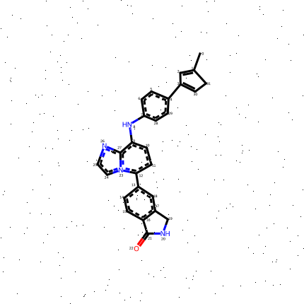 CC1=CC(c2ccc(Nc3ccc(-c4ccc5c(c4)CNC5=O)n4ccnc34)cc2)=CC1